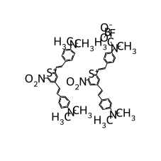 CN(C)c1ccc(C=Cc2cc(C=Cc3ccc(N(C)C)cc3)[s+]c([N+](=O)[O-])c2)cc1.CN(C)c1ccc(C=Cc2cc(C=Cc3ccc(N(C)C)cc3)[s+]c([N+](=O)[O-])c2)cc1.[O-]B([O-])F